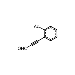 CC(=O)c1ccccc1C#CC=O